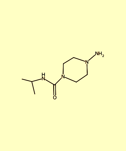 CC(C)NC(=O)N1CCN(N)CC1